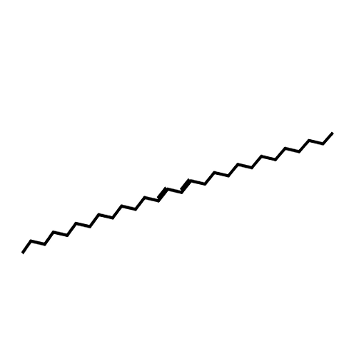 CCCCCCCCCCCCC=CC=CCCCCCCCCCCCC